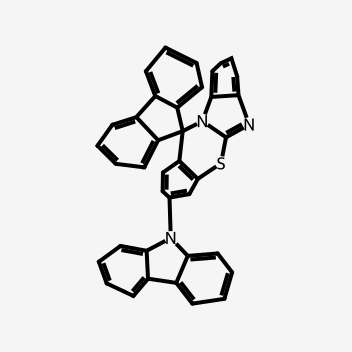 c1ccc2c(c1)-c1ccccc1C21c2ccc(-n3c4ccccc4c4ccccc43)cc2Sc2nc3ccccc3n21